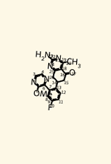 COc1nccnc1-c1cc(F)ccc1C1CC(=O)c2c(C)nc(N)nc2C1